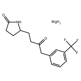 O=C(CCC1CCC(=O)N1)Cc1cccc(C(F)(F)F)c1.[MgH2]